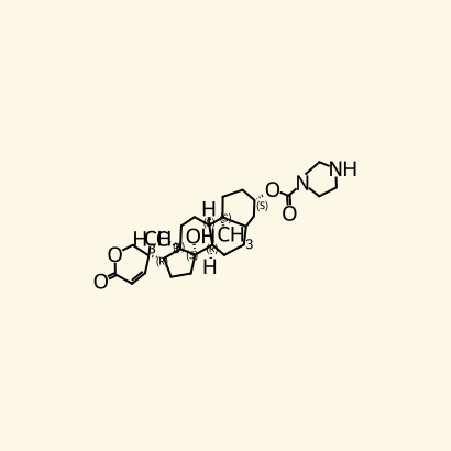 CC1([C@H]2CC[C@]3(O)[C@@H]4CCC5C[C@@H](OC(=O)N6CCNCC6)CC[C@]5(C)[C@H]4CC[C@]23C)C=CC(=O)OC1